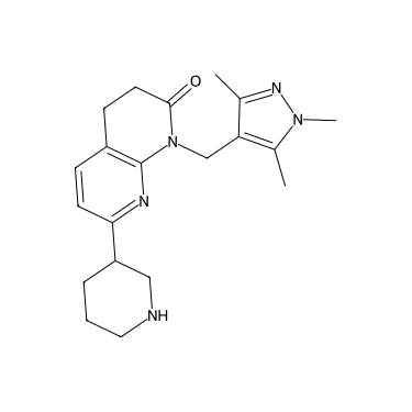 Cc1nn(C)c(C)c1CN1C(=O)CCc2ccc(C3CCCNC3)nc21